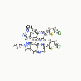 Cn1cc2cc3ncc(-c4ccc(Cl)s4)nc3cc2n1.Cn1ncc2cc3ncc(-c4ccc(Cl)s4)nc3cc21